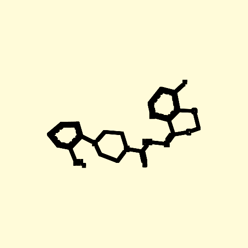 Nc1ccccc1N1CCN(C(=S)N/N=C2/CCOc3c(F)ccnc32)CC1